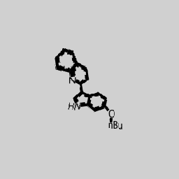 CCCCOc1ccc2c(-c3ccc4ccccc4n3)c[nH]c2c1